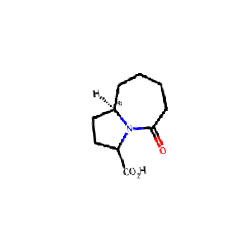 O=C(O)C1CC[C@H]2CCCCC(=O)N12